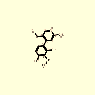 COc1c(Cl)ccc(-c2cc(C)ncc2CO)c1F